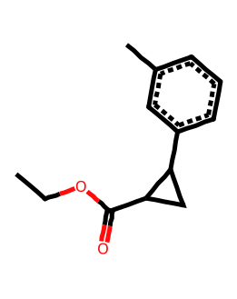 CCOC(=O)C1CC1c1cccc(C)c1